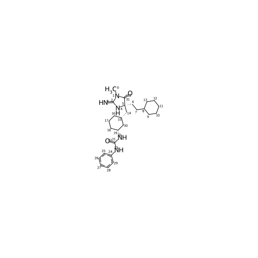 CN1C(=N)N[C@](CCC2CCCCC2)(C[C@H]2CCC[C@@H](NC(=O)Nc3ccccc3)C2)C1=O